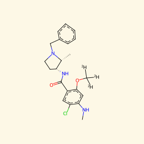 [2H]C([2H])([2H])Oc1cc(NC)c(Cl)cc1C(=O)N[C@@H]1CCN(Cc2ccccc2)[C@@H]1C